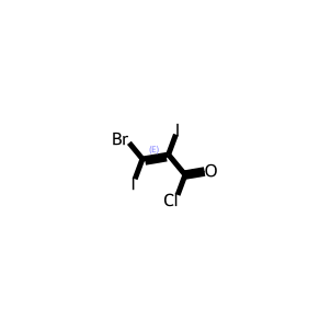 O=C(Cl)/C(I)=C(/Br)I